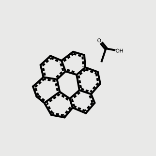 CC(=O)O.c1cc2ccc3ccc4ccc5ccc6ccc1c1c2c3c4c5c61